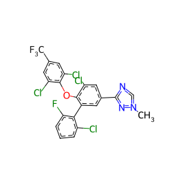 Cn1cnc(-c2cc(Cl)c(Oc3c(Cl)cc(C(F)(F)F)cc3Cl)c(-c3c(F)cccc3Cl)c2)n1